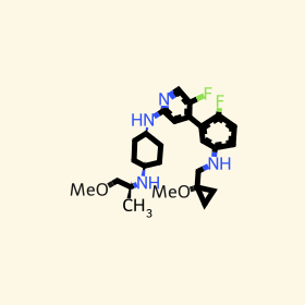 COC[C@H](C)N[C@H]1CC[C@H](Nc2cc(-c3cc(NCC4(OC)CC4)ccc3F)c(F)cn2)CC1